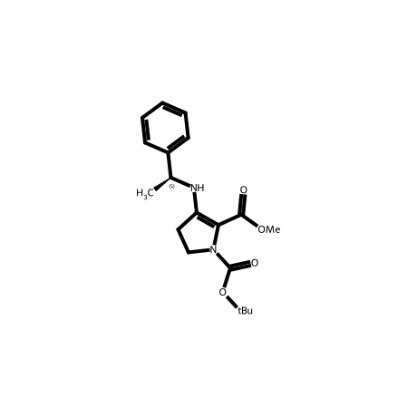 COC(=O)C1=C(N[C@@H](C)c2ccccc2)CCN1C(=O)OC(C)(C)C